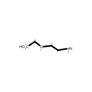 CCCCCOCC(=O)O